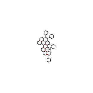 c1ccc(-c2ccc(N(c3ccccc3-c3ccc4c(c3)c(-c3ccccc3)c(-c3ccccc3)c3ccccc34)c3ccc(-c4ccccc4)cc3-c3ccccc3)c(-c3ccccc3)c2)cc1